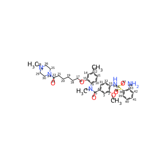 COc1cc(C(=O)N(C)c2ccc(C)cc2OCCCCCC(=O)N2CCN(C)CC2)ccc1NS(=O)(=O)c1ccccc1N